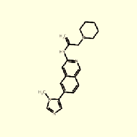 C=C(CN1CCCCC1)Nc1cc2cc(-c3cncn3C)ccc2cn1